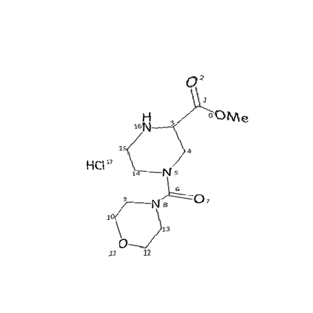 COC(=O)C1CN(C(=O)N2CCOCC2)CCN1.Cl